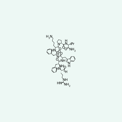 [2H]C(=O)[C@H](CCCNC(=N)N)NN[C@@H](Cc1ccccc1)C(=O)NC(Cc1c[nH]c2ccccc12)C(=O)N[C@@H](Cc1ccccc1)C(=O)NC(CCCCN)C(=O)N1CCC[C@H]1C(=O)N[C@H](C(N)=O)C(C)C